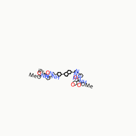 COC(=O)N[C@H](C(=O)N1CCC[C@H]1C1=NCC(c2ccc(-c3ccc4cc(-c5cnc([C@@H]6CCCN6C(=O)[C@@H](NC(=O)OC)C6CCOCC6)[nH]5)ccc4c3)cc2)N1)C(C)C